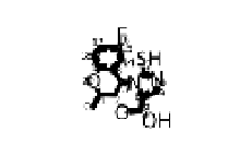 CC1CC(n2c(C(=O)O)cnc2S)c2cc(F)ccc2O1